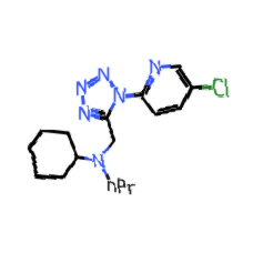 CCCN(Cc1nnnn1-c1ccc(Cl)cn1)C1CCCCC1